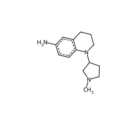 CN1CCC(N2CCCc3cc(N)ccc32)C1